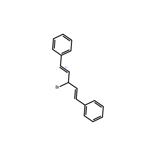 BrC(C=Cc1ccccc1)/C=C/c1ccccc1